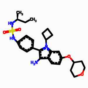 CC[C@H](C)NS(=O)(=O)Nc1ccc(-c2c(N)c3ccc(OC4CCOCC4)cc3n2C2CCC2)cc1